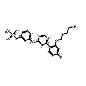 CCCCCOc1cc(F)ccc1-c1ncnc(Nc2cccc(CS(C)(=O)=O)c2)n1